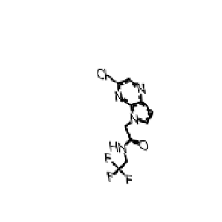 O=C(Cn1ccc2ncc(Cl)nc21)NCC(F)(F)F